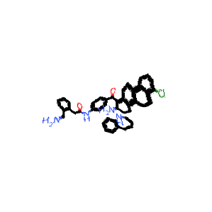 C1=CNc2ccccc2C=C1.NCc1ccccc1CC(=O)Nc1ccc(C(=O)C2=c3ccc4c(c3CCC2N)CC=c2c(Cl)cccc2=4)cc1